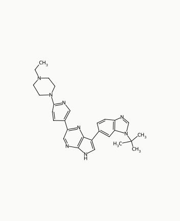 CCN1CCN(c2ccc(-c3cnc4[nH]cc(-c5ccc6ncn(C(C)(C)C)c6c5)c4n3)cn2)CC1